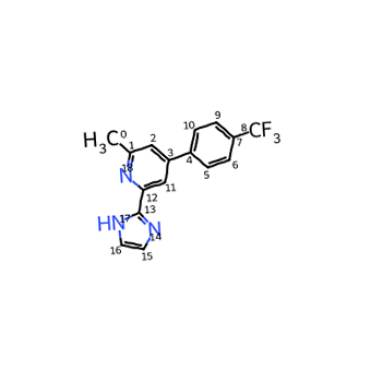 Cc1cc(-c2ccc(C(F)(F)F)cc2)cc(-c2ncc[nH]2)n1